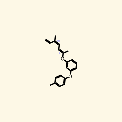 C=C/C(C)=C\C=C(/C)Oc1cccc(Oc2ccc(C)cc2)c1